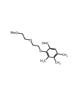 COCCOCCOc1c(C=O)cc(C)c(C)c1C